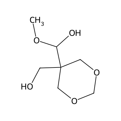 COC(O)C1(CO)COCOC1